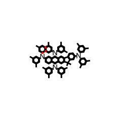 Cc1cc(C)cc(N(c2cc(C)cc(C)c2)c2ccc3c(c2)C(C)(C)c2cc4c(N(c5cc(C)cc(C)c5)c5cc(C)cc(C)c5)c5ccc(N(c6cc(C)cc(C)c6)c6cc(C)cc(C)c6)cc5c(N(c5cc(C)cc(C)c5)c5cc(C)cc(C)c5)c4cc2-3)c1